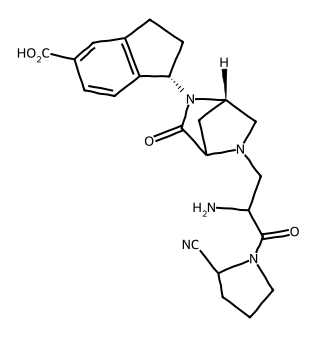 N#CC1CCCN1C(=O)C(N)CN1C[C@@H]2CC1C(=O)N2[C@H]1CCc2cc(C(=O)O)ccc21